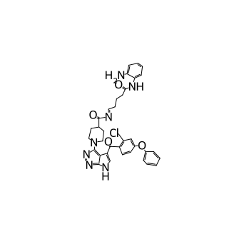 Nc1ccccc1NC(=O)CCCC=NC(=O)C1CCN(c2ncnc3[nH]cc(C(=O)c4ccc(Oc5ccccc5)cc4Cl)c23)CC1